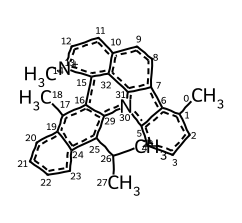 Cc1cccc2c1c1ccc3cc[n+](C)c4c5c(C)c6ccccc6c(C(C)C)c5n2c1c34